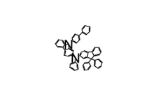 c1ccc(-c2ccc(-n3c4ccccc4c4ccc(N(c5ccccc5)c5ccc6c(c5)C(c5ccccc5)(c5ccccc5)c5ccccc5-6)cc43)cc2)cc1